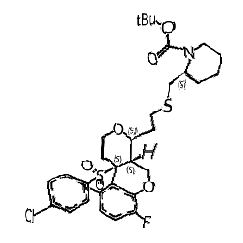 CC(C)(C)OC(=O)N1CCCC[C@H]1CSCC[C@@H]1OCC[C@@]2(S(=O)(=O)c3ccc(Cl)cc3)c3c(F)ccc(F)c3OC[C@@H]12